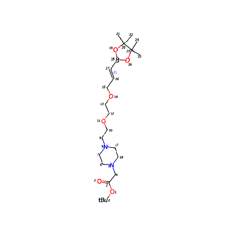 CC(C)(C)OC(=O)CN1CCN(CCOCCOC/C=C/B2OC(C)(C)C(C)(C)O2)CC1